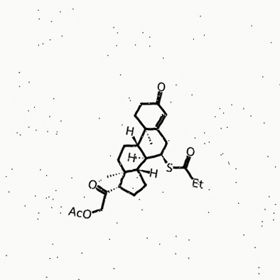 CCC(=O)S[C@@H]1CC2=CC(=O)CC[C@]2(C)[C@H]2CC[C@]3(C)[C@@H](C(=O)COC(C)=O)CC[C@H]3[C@H]12